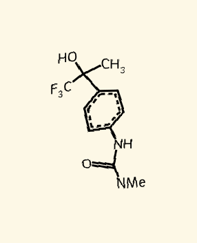 CNC(=O)Nc1ccc(C(C)(O)C(F)(F)F)cc1